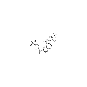 Cn1nc(C(=O)NC(C)(C)C)c2c1-c1nc(NC3CCN(S(C)(=O)=O)CC3)ncc1CC2